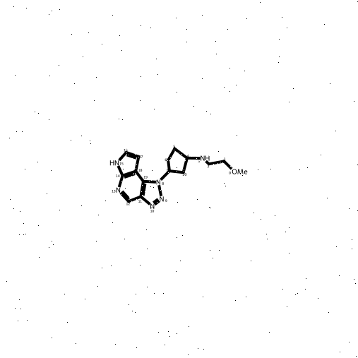 COCCNC1CCC(n2nnc3cnc4[nH]ccc4c32)C1